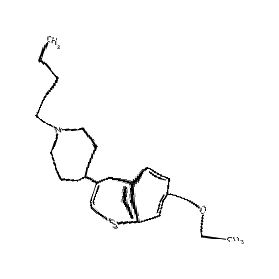 CCCCN1CCC(c2csc3cc(OCC)ccc23)CC1